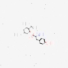 CC1CCC(C(C)C)C(OC(=O)[C@@H](N)Cc2ccc(O)cc2)C1